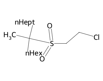 CCCCCCCC(C)(CCCCCC)S(=O)(=O)CCCl